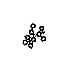 CC1(C)c2ccccc2-c2cc(N(c3cccc(-c4ccccc4)c3)c3ccc4c(c3)C(c3ccccc3)(c3ccccc3)c3ccccc3-4)cc(-c3ccccc3)c21